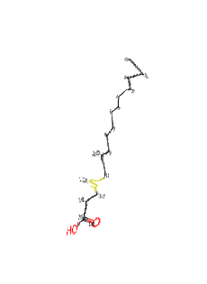 CCCCCCCCCCCCSCCC(=O)O